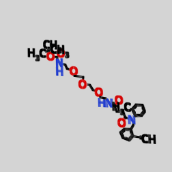 C#Cc1ccccc1CN(C(=O)CCC(=O)NCCOCCOCCOCCNC(=O)OC(C)(C)C)c1ccccc1C